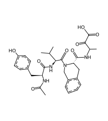 CC(=O)N[C@@H](Cc1ccc(O)cc1)C(=O)N[C@H](C(=O)N1Cc2ccccc2C[C@H]1C(=O)NC(C)C(=O)C(=O)O)C(C)C